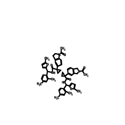 CC(=O)N1CCc2cc(C3(C(=O)NC(c4ccc(C)o4)c4ccc(C)cc4C)CC3)ccc21.CC(=O)N1Cc2ccc(C3(C(=O)NC(c4ccc(C)o4)c4ccc(C)cc4C)CC3)cc2C1